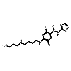 NCCCNCCCCNc1cc(F)c([S+]([O-])Nc2ncns2)cc1Cl